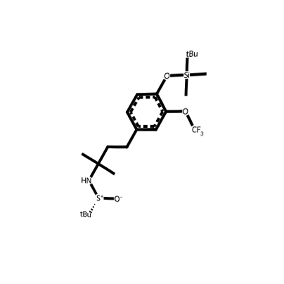 CC(C)(CCc1ccc(O[Si](C)(C)C(C)(C)C)c(OC(F)(F)F)c1)N[S@+]([O-])C(C)(C)C